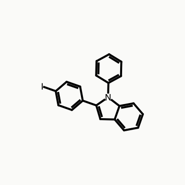 Ic1ccc(-c2cc3ccccc3n2-c2ccccc2)cc1